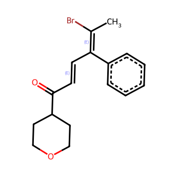 C/C(Br)=C(/C=C/C(=O)C1CCOCC1)c1ccccc1